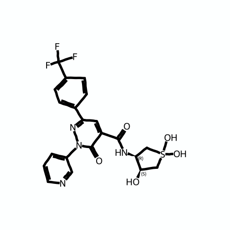 O=C(N[C@H]1CS(O)(O)C[C@H]1O)c1cc(-c2ccc(C(F)(F)F)cc2)nn(-c2cccnc2)c1=O